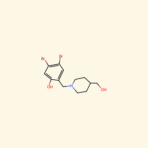 OCC1CCN(Cc2cc(Br)c(Br)cc2O)CC1